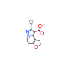 COC(=O)c1c(C2CC2)nn2ccc3c(c12)CCO3